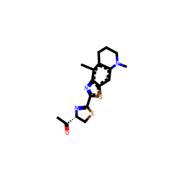 CC(=O)[C@H]1CSC(c2nc3c(C)c4c(cc3s2)N(C)CCC4)=N1